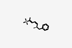 C/C(=C\C=C/[C@H](C)Cc1ccccc1)S(C)(C)C